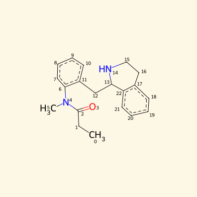 CCC(=O)N(C)c1ccccc1CC1NCCc2ccccc21